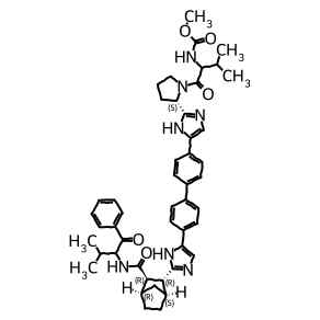 COC(=O)NC(C(=O)N1CCC[C@H]1c1ncc(-c2ccc(-c3ccc(-c4cnc([C@@H]5[C@H]6CC[C@H](C6)[C@H]5C(=O)NC(C(=O)c5ccccc5)C(C)C)[nH]4)cc3)cc2)[nH]1)C(C)C